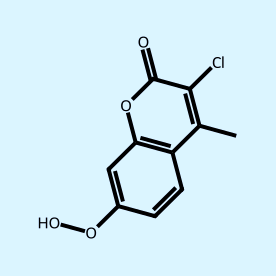 Cc1c(Cl)c(=O)oc2cc(OO)ccc12